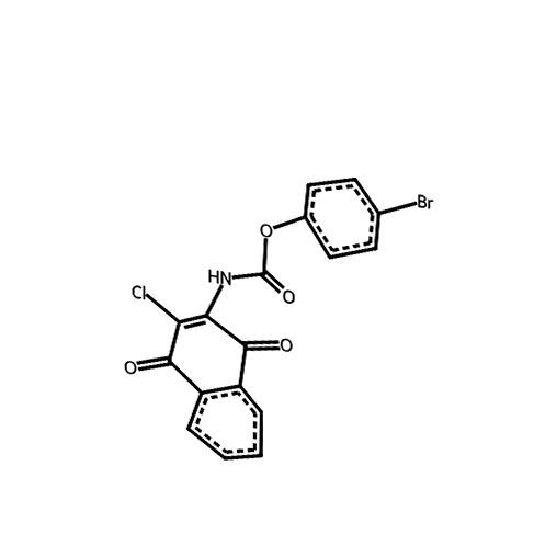 O=C(NC1=C(Cl)C(=O)c2ccccc2C1=O)Oc1ccc(Br)cc1